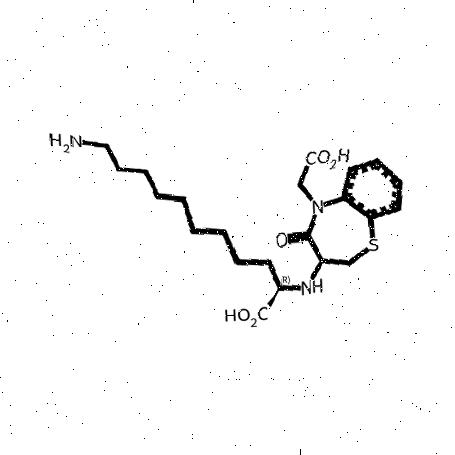 NCCCCCCCCC[C@@H](NC1CSc2ccccc2N(CC(=O)O)C1=O)C(=O)O